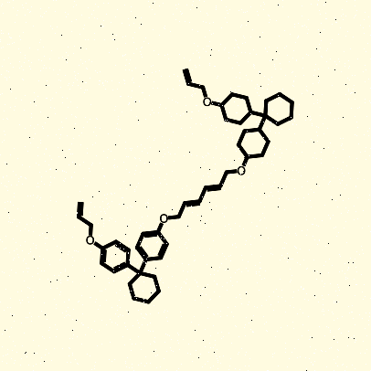 C=CCOc1ccc(C2(c3ccc(OC/C=C/C=C/COC4CCC(C5(C6CCC(OCC=C)CC6)CCCCC5)CC4)cc3)CCCCC2)cc1